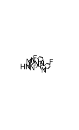 CC(Nc1ncnc2[nH]cnc12)c1cnc2ccc(F)cc2c1-c1cccc(F)c1